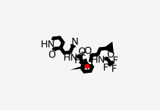 N#CC(CC1CCCNC1=O)NC(=O)C1C2CCC(CC2(F)F)N1C(=O)C(CC1CC1)NC(=O)C(F)(F)F